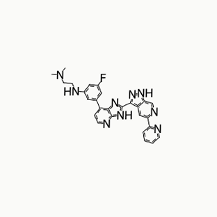 CN(C)CCNc1cc(F)cc(-c2ccnc3[nH]c(-c4n[nH]c5cnc(-c6ccccn6)cc45)nc23)c1